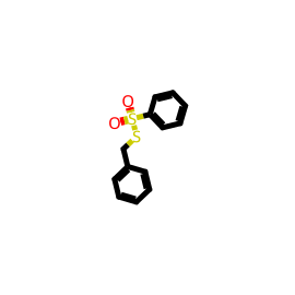 O=S(=O)(SCc1ccccc1)c1ccccc1